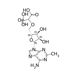 Cc1nc(N)c2ncn([C@@H]3O[C@H](COC(C(=O)O)P(=O)(O)O)[C@@H](O)[C@H]3O)c2n1